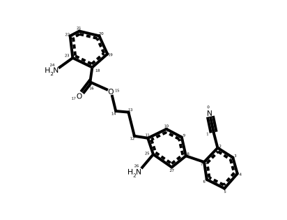 N#Cc1ccccc1-c1ccc(CCCOC(=O)c2ccccc2N)c(N)c1